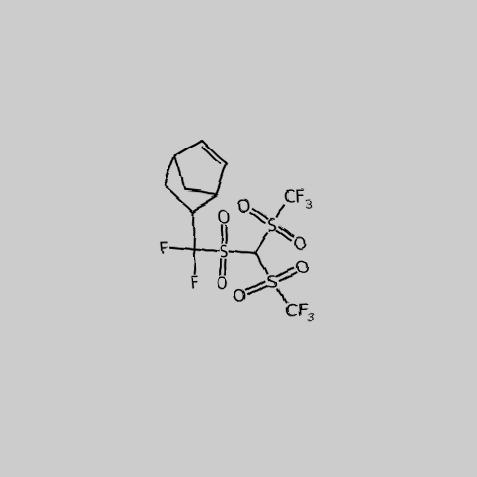 O=S(=O)(C(S(=O)(=O)C(F)(F)F)S(=O)(=O)C(F)(F)C1CC2C=CC1C2)C(F)(F)F